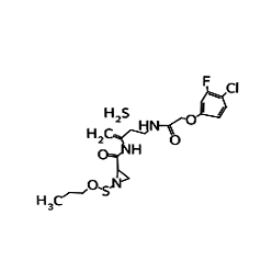 C=C(CCNC(=O)COc1ccc(Cl)c(F)c1)NC(=O)C1CN1SOCCC.S